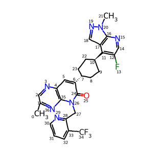 Cc1cnc2cc([C@H]3CC[C@H](c4c(F)cnc5c4cnn5C)CC3)c(=O)n(Cc3ncccc3C(F)(F)F)c2n1